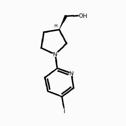 OC[C@@H]1CCN(c2ccc(I)cn2)C1